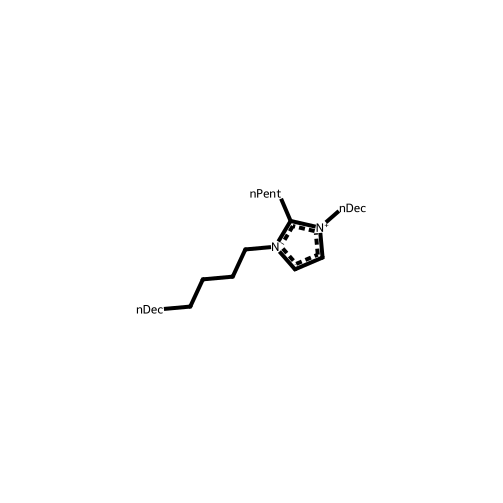 CCCCCCCCCCCCCCn1cc[n+](CCCCCCCCCC)c1CCCCC